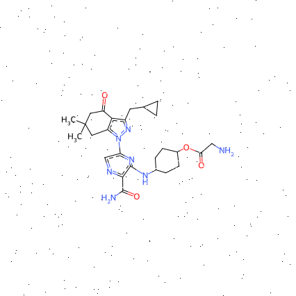 CC1(C)CC(=O)c2c(CC3CC3)nn(-c3cnc(C(N)=O)c(NC4CCC(OC(=O)CN)CC4)n3)c2C1